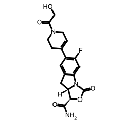 NC(=O)[C@@H]1OC(=O)N2c3cc(F)c(C4=CCN(C(=O)CO)CC4)cc3C[C@@H]12